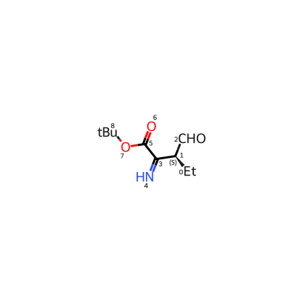 CC[C@H](C=O)C(=N)C(=O)OC(C)(C)C